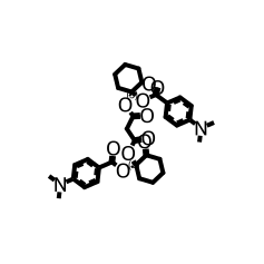 CN(C)c1ccc(C(=O)O[C@@]2(OC(=O)CC(=O)O[C@]3(OC(=O)c4ccc(N(C)C)cc4)CCCCC3=O)CCCCC2=O)cc1